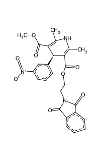 COC(=O)C1=C(C)NC(C)=C(C(=O)OCCN2C(=O)c3ccccc3C2=O)[C@H]1c1cccc([N+](=O)[O-])c1